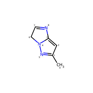 Cc1cc2n(n1)CC=N2